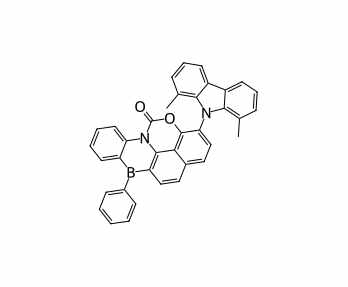 Cc1cccc2c3cccc(C)c3n(-c3ccc4ccc5c6c4c3OC(=O)N6c3ccccc3B5c3ccccc3)c12